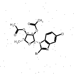 CC(=O)O[C@@H]1[C@H](OC(C)=O)[C@@H](C)O[C@H]1n1c(Br)nc2cc(Cl)ccc21